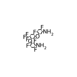 Nc1cc(Oc2ccc(C(F)(F)F)c(Oc3cc(N)c(F)cc3F)c2F)c(F)cc1F